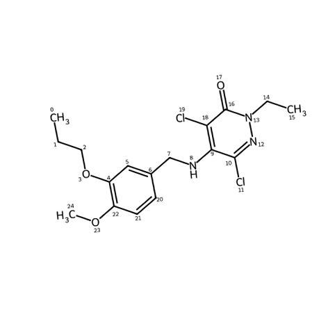 CCCOc1cc(CNc2c(Cl)nn(CC)c(=O)c2Cl)ccc1OC